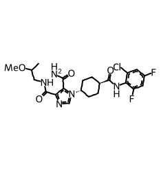 COC(C)CNC(=O)c1ncn([C@H]2CC[C@H](C(=O)Nc3c(F)cc(F)cc3Cl)CC2)c1C(N)=O